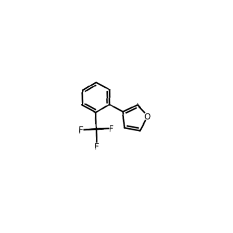 FC(F)(F)c1ccccc1-c1[c]occ1